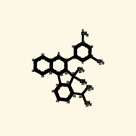 Cc1cc(C)cc(-c2nc3ccccc3c3c2C(C)(C)c2c-3cccc2C(C)C)c1